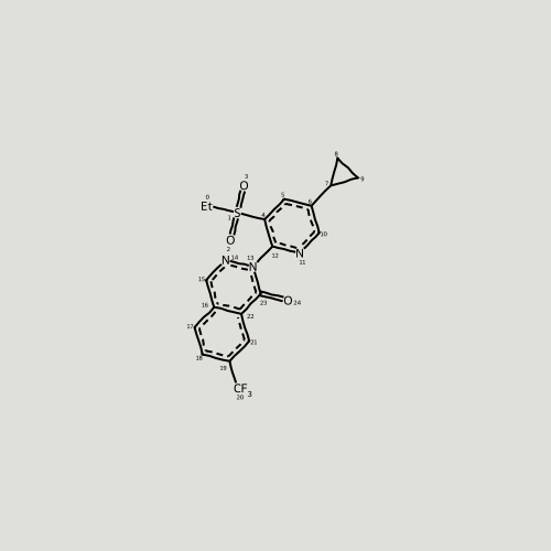 CCS(=O)(=O)c1cc(C2CC2)cnc1-n1ncc2ccc(C(F)(F)F)cc2c1=O